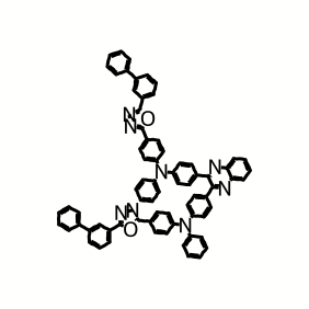 c1ccc(-c2cccc(-c3nnc(-c4ccc(N(c5ccccc5)c5ccc(-c6nc7ccccc7nc6-c6ccc(N(c7ccccc7)c7ccc(-c8nnc(-c9cccc(-c%10ccccc%10)c9)o8)cc7)cc6)cc5)cc4)o3)c2)cc1